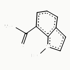 COC(=O)c1cccc2ccn(C)c12